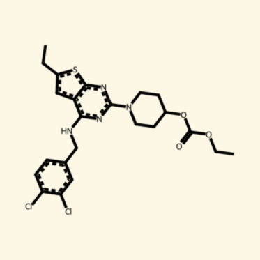 CCOC(=O)OC1CCN(c2nc(NCc3ccc(Cl)c(Cl)c3)c3cc(CC)sc3n2)CC1